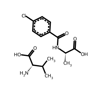 CC(C)[C@H](N)C(=O)O.C[C@H](NC(=O)c1ccc(Cl)cc1)C(=O)O